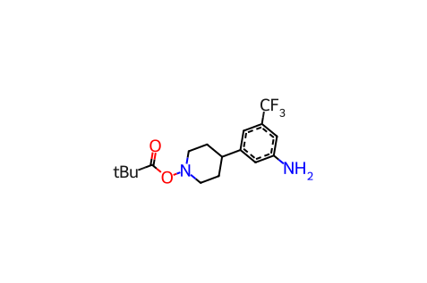 CC(C)(C)C(=O)ON1CCC(c2cc(N)cc(C(F)(F)F)c2)CC1